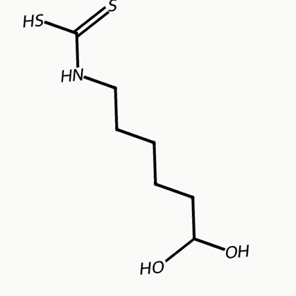 OC(O)CCCCCNC(=S)S